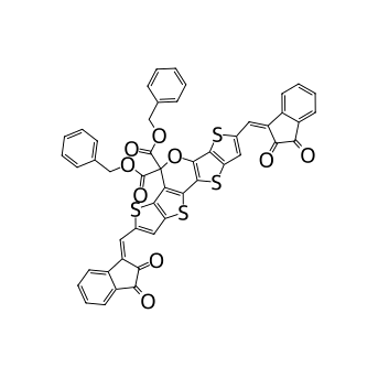 O=C1C(=O)c2ccccc2/C1=C/c1cc2sc3c(c2s1)OC(C(=O)OCc1ccccc1)(C(=O)OCc1ccccc1)c1c-3sc2cc(/C=C3\C(=O)C(=O)c4ccccc43)sc12